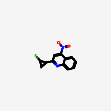 O=[N+]([O-])c1cc(C2CC2F)nc2ccccc12